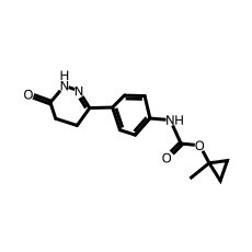 CC1(OC(=O)Nc2ccc(C3=NNC(=O)CC3)cc2)CC1